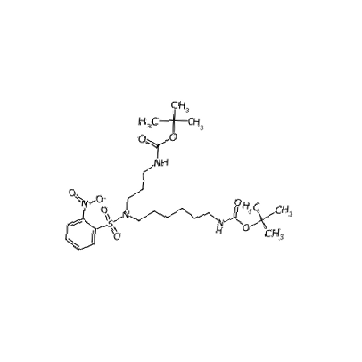 CC(C)(C)OC(=O)NCCCCCCN(CCCNC(=O)OC(C)(C)C)S(=O)(=O)c1ccccc1[N+](=O)[O-]